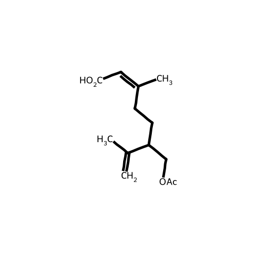 C=C(C)C(CCC(C)=CC(=O)O)COC(C)=O